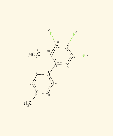 Cc1ccc(-c2cc(F)c(F)c(F)c2C(=O)O)cc1